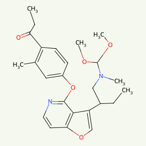 CCC(=O)c1ccc(Oc2nccc3occ(C(CC)CN(C)C(OC)OC)c23)cc1C